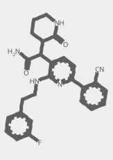 N#Cc1ccccc1-c1ccc(C(C(N)=O)C2CCCNC2=O)c(NCCc2cccc(F)c2)n1